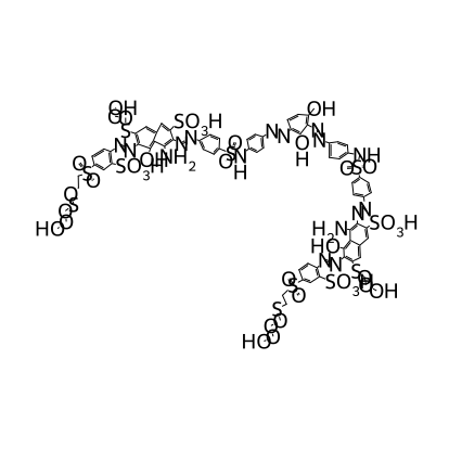 Nc1c(/N=N/c2ccc(S(=O)(=O)Nc3ccc(N=Nc4c(O)ccc(N=Nc5ccc(NS(=O)(=O)c6ccc(/N=N/c7c(S(=O)(=O)O)cc8cc(SOOO)c(/N=N/c9ccc(S(=O)(=O)CCOSOOO)cc9S(=O)(=O)O)c(O)c8c7N)cc6)cc5)c4O)cc3)cc2)c(S(=O)(=O)O)cc2cc(SOOO)c(N=Nc3ccc(S(=O)(=O)CCSOOOO)cc3S(=O)(=O)O)c(O)c12